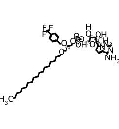 CCCCCCCCCCCCCCCCCCOC[C@H](COP(=O)(O)OC[C@H]1O[C@@](C)(C2CC=C3C(N)=NC=NN32)[C@H](O)[C@@H]1O)OCc1ccc(C(F)(F)F)cc1